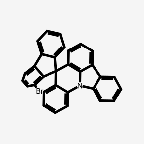 Brc1cccc2c1C1(c3ccccc3-2)c2ccccc2-n2c3ccccc3c3cccc1c32